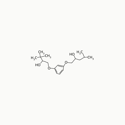 CC(C)CC(O)COc1cccc(OCC(O)C(C)(C)C)c1